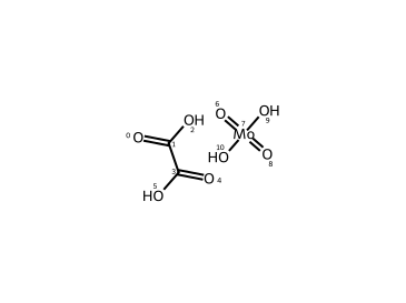 O=C(O)C(=O)O.[O]=[Mo](=[O])([OH])[OH]